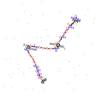 COc1cc(C(C)NC(=O)CCOCCOCCOCCOCCNC(=O)CCCOc2cc([N+](=O)[O-])c(C(C)NC(=O)CCOCCOCCOCCOCCNC(=O)CNC(=O)CNC(=O)CNC(=O)OCC3c4ccccc4-c4ccccc43)cc2OC)c([N+](=O)[O-])cc1OCCCC(=O)NCCOCCOCCOCCNC(=O)CCCC[C@@H]1SC[C@@H]2NC(=O)N[C@@H]21